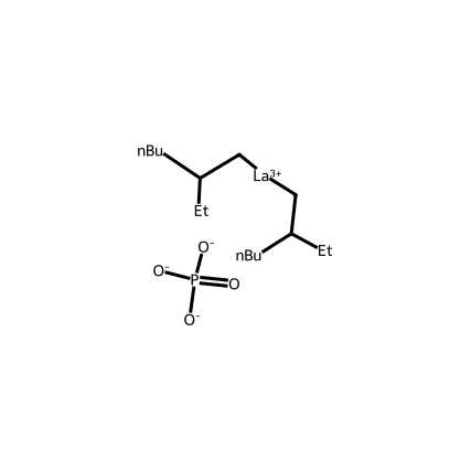 CCCCC(CC)[CH2][La+3][CH2]C(CC)CCCC.O=P([O-])([O-])[O-]